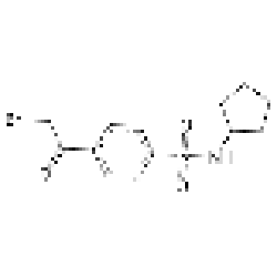 O=C(CBr)c1ccc(S(=O)(=O)NC2CCCC2)cc1